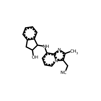 Cc1nc2c(NC3c4ccccc4CC3O)cccn2c1CC#N